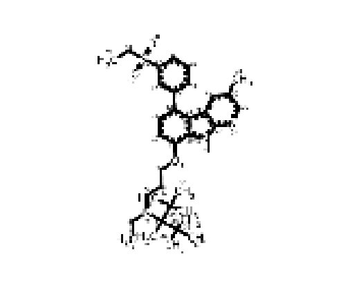 [CH2]C(N(CC)CCCOc1ccc(-c2cccc(S(=O)(=O)CC)c2)c2c1[nH]c1ncc(C)cc12)(C(C)(C)C)C(C)(C)C